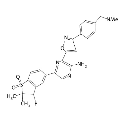 CNCc1ccc(-c2cc(-c3nc(-c4ccc5c(c4)C(F)C(C)(C)S5(=O)=O)cnc3N)on2)cc1